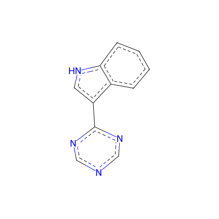 c1ccc2c(-c3ncncn3)c[nH]c2c1